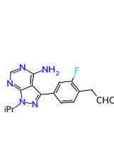 CC(C)n1nc(-c2ccc(CC=O)c(F)c2)c2c(N)ncnc21